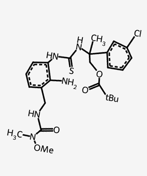 CON(C)C(=O)NCc1cccc(NC(=S)NC(C)(COC(=O)C(C)(C)C)c2cccc(Cl)c2)c1N